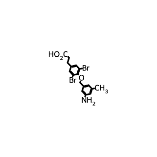 Cc1cc(N)cc(COc2c(Br)cc(CCC(=O)O)cc2Br)c1